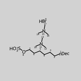 Br.CCCCCCCCCCCCCCCCOS(=O)(=O)O.CN(C)C.CN(C)C